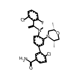 C=C(c1c(F)cccc1Cl)N(C)c1ccc(-c2cc(C(N)=O)ccc2Cl)cc1N1C[C@H](C)OC[C@@H]1C